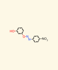 O=[N+]([O-])c1ccc(N=NOc2cccc(O)c2)cc1